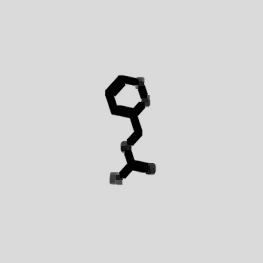 CCC(=O)OCC1=CC=CSS1